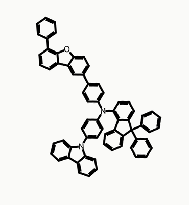 c1ccc(-c2cccc3c2oc2ccc(-c4ccc(N(c5ccc(-n6c7ccccc7c7ccccc76)cc5)c5cccc6c5-c5ccccc5C6(c5ccccc5)c5ccccc5)cc4)cc23)cc1